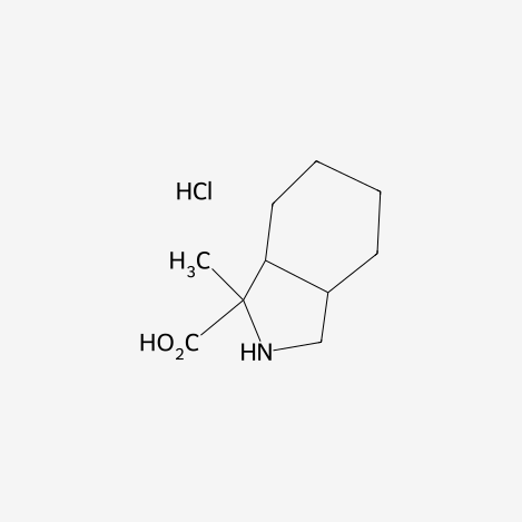 CC1(C(=O)O)NCC2CCCCC21.Cl